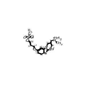 CN(C)CC1CNc2nc3ccc(OCCCOS(C)(=O)=O)cc3n2C1